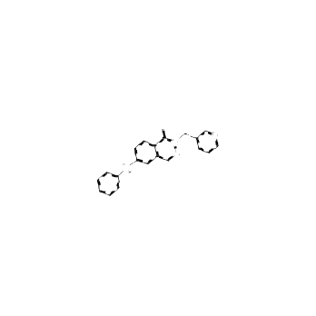 O=c1c2ccc(S(=O)(=O)c3ccccc3)cc2cnn1Cc1cccnc1